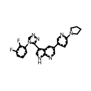 Fc1cccc(-n2cnnc2-c2c[nH]c3ncc(-c4ccc(N5CCCC5)nc4)cc23)c1F